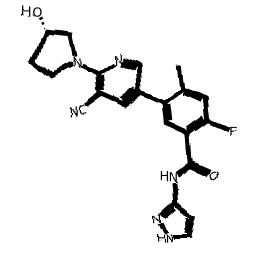 Cc1cc(F)c(C(=O)Nc2cc[nH]n2)cc1-c1cnc(N2CC[C@H](O)C2)c(C#N)c1